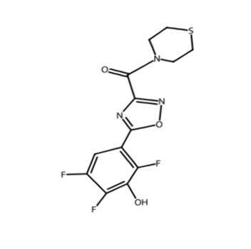 O=C(c1noc(-c2cc(F)c(F)c(O)c2F)n1)N1CCSCC1